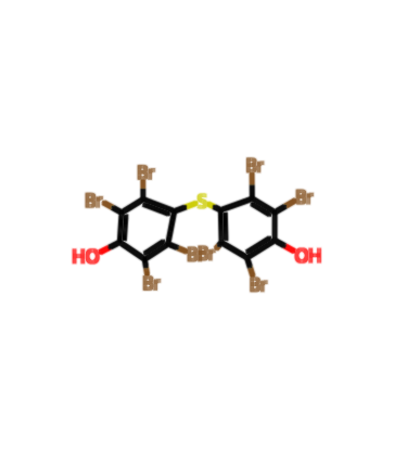 Oc1c(Br)c(Br)c(Sc2c(Br)c(Br)c(O)c(Br)c2Br)c(Br)c1Br